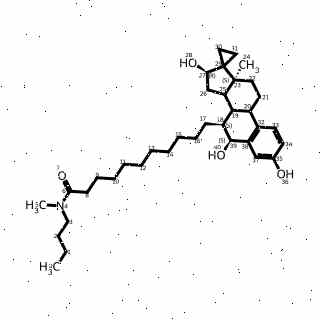 CCCCN(C)C(=O)CCCCCCCCCC[C@H]1C2C(CC[C@@]3(C)C2C[C@@H](O)C32CC2)c2ccc(O)cc2[C@H]1O